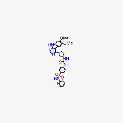 COc1cc2[nH]c3ncnc(N4CCC(NC(=S)Nc5ccc(S(=O)(=O)Nc6ncccn6)cc5)C4)c3c2cc1OC